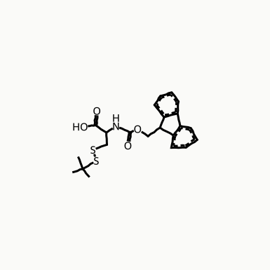 CC(C)(C)SSCC(NC(=O)OCC1c2ccccc2-c2ccccc21)C(=O)O